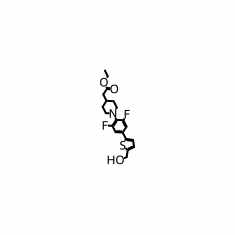 CCOC(=O)CC1CCN(c2c(F)cc(-c3ccc(CO)s3)cc2F)CC1